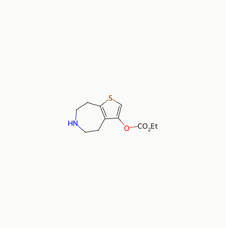 CCOC(=O)Oc1csc2c1CCNCC2